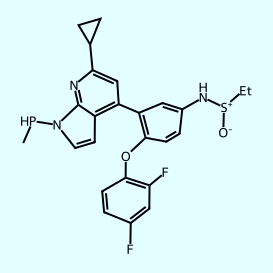 CC[S+]([O-])Nc1ccc(Oc2ccc(F)cc2F)c(-c2cc(C3CC3)nc3c2ccn3PC)c1